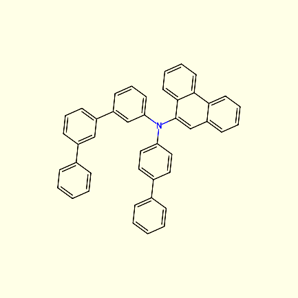 c1ccc(-c2ccc(N(c3cccc(-c4cccc(-c5ccccc5)c4)c3)c3cc4ccccc4c4ccccc34)cc2)cc1